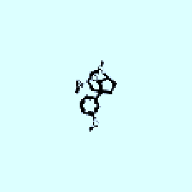 CBr.COc1cccc(C23CCCN(C)C(CC2)C3=O)c1